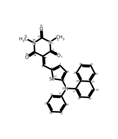 CN1C(=O)C(=Cc2ccc(N(c3ccccc3)c3cccc4ccccc34)[se]2)C(=O)N(C)C1=O